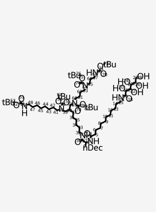 CCCCCCCCCCC(NC(=O)CCCCCCCCCCCNC(=O)[C@@H](O)[C@@H](O)[C@@H](O)[C@H](O)CO)C(=O)NCCCCCCC(CN(CCCCCCCCNC(=O)OC(C)(C)C)C(=O)OC(C)(C)C)CN(CCCCN(CCCNC(=O)OC(C)(C)C)C(=O)OC(C)(C)C)C(=O)OC(C)(C)C